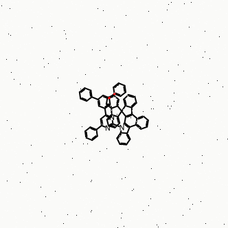 c1ccc(-c2cc(-c3ccccc3)cc(-c3cc(-c4ccccc4)nc(-n4c5ccccc5c5c6ccccc6c6c(c54)C4(c5ccccc5-c5ccccc54)c4ccccc4-6)n3)c2)cc1